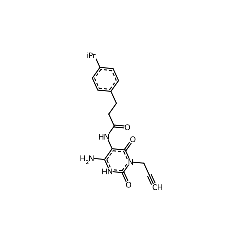 C#CCn1c(=O)[nH]c(N)c(NC(=O)CCc2ccc(C(C)C)cc2)c1=O